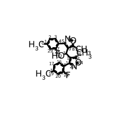 Cc1ccc(-c2noc(C)c2C(O)c2c(-c3ccc(C)cc3F)noc2C)c(F)c1